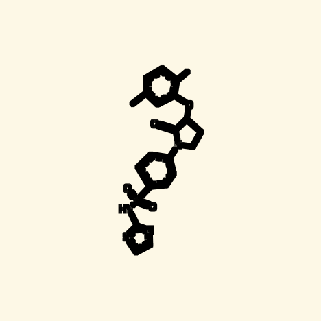 Cc1ccc(C)c(OC2CCN(c3ccc(S(=O)(=O)Nc4nccs4)cc3)C2=O)c1